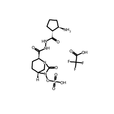 N[C@@H]1CCC[C@H]1C(=O)NNC(=O)[C@@H]1CC[C@@H]2CN1C(=O)N2OS(=O)(=O)O.O=C(O)C(F)(F)F